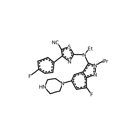 CCN(c1nc(-c2ccc(F)cc2)c(C#N)s1)c1c2cc(N3CCNCC3)cc(F)c2nn1C(C)C